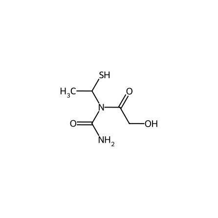 CC(S)N(C(N)=O)C(=O)CO